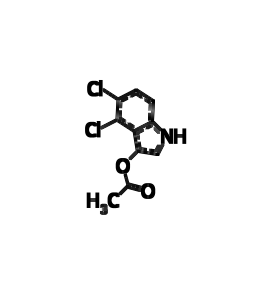 CC(=O)Oc1c[nH]c2ccc(Cl)c(Cl)c12